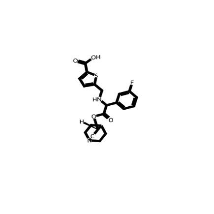 O=C(O)c1ccc(CNC(C(=O)O[C@H]2CN3CCC2CC3)c2cccc(F)c2)s1